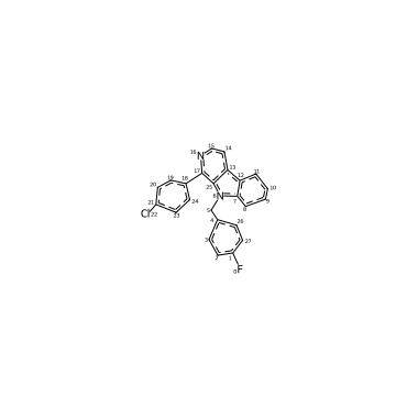 Fc1ccc(Cn2c3ccccc3c3ccnc(-c4ccc(Cl)cc4)c32)cc1